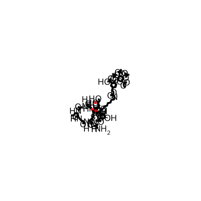 CC[C@H](C)[C@@H]1NC(=O)CNC(=O)[C@@H]2Cc3c([nH]c4cc(OCCCCCCN(C)C(=O)OCc5ccc(O[C@@H]6O[C@H](C(=O)OC)[C@@H](OC(C)=O)[C@H](OC(C)=O)[C@H]6OC(C)=O)c(C(=O)O)c5)ccc34)[S+]([O-])C[C@H](NC(=O)CNC1=O)C(=O)N[C@@H](CC(N)=O)C(=O)N1C[C@H](O)C[C@H]1C(=O)N[C@@H]([C@@H](C)[C@@H](O)CO)C(=O)N2